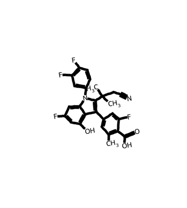 Cc1cc(-c2c(C(C)(C)CC#N)n(-c3ccc(F)c(F)c3)c3cc(F)cc(O)c23)cc(F)c1C(=O)O